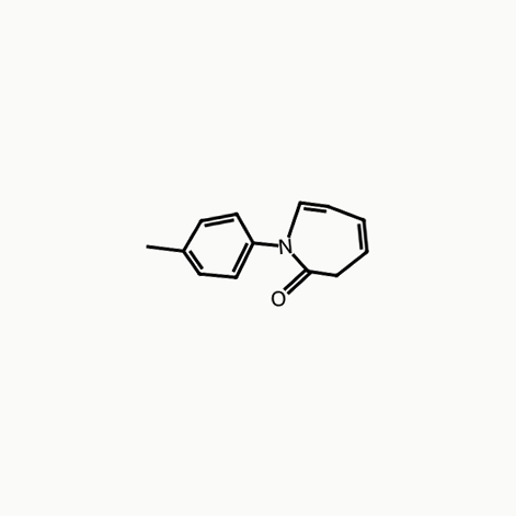 Cc1ccc(N2C=CC=CCC2=O)cc1